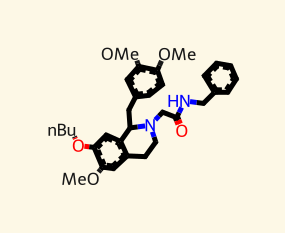 CCCCOc1cc2c(cc1OC)CCN(CC(=O)NCc1ccccc1)C2Cc1ccc(OC)c(OC)c1